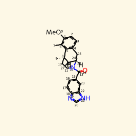 COc1ccc2c(c1C)[C@]1(C)CCN(C(=O)c3ccc4nc[nH]c4c3)[C@H](C2)[C@H]1C